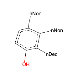 CCCCCCCCCCc1c(O)ccc(CCCCCCCCC)c1CCCCCCCCC